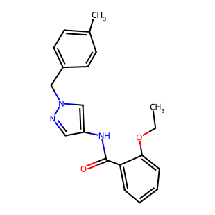 CCOc1ccccc1C(=O)Nc1cnn(Cc2ccc(C)cc2)c1